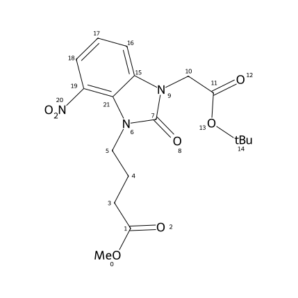 COC(=O)CCCn1c(=O)n(CC(=O)OC(C)(C)C)c2cccc([N+](=O)[O-])c21